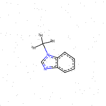 [2H]C([2H])([2H])n1cnc2ccccc21